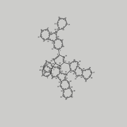 c1ccc(C2N=C(c3ccc4c(c3)c3ccccc3n4-c3ccccc3)N=C(c3ccc4c(oc5ccccc54)c3-n3c4cc5ccccc5cc4c4cc5ccccc5cc43)N2)cc1